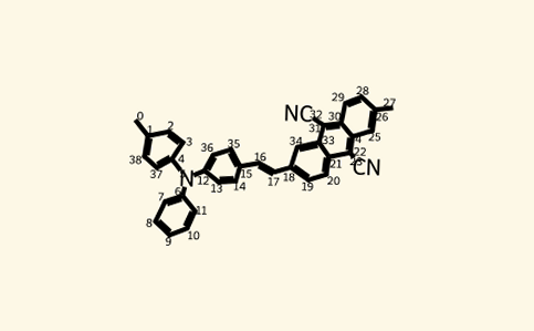 Cc1ccc(N(c2ccccc2)c2ccc(C=Cc3ccc4c(C#N)c5cc(C)ccc5c(C#N)c4c3)cc2)cc1